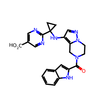 O=C(O)c1cnc(C2(Nc3cnn4c3CN(C(=O)c3cc5ccccc5[nH]3)CC4)CC2)nc1